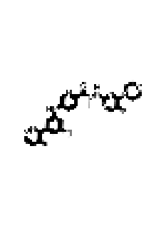 Cc1ccnnc1-c1cc(Cl)cc(Nc2ccc(C(=O)NNc3ncc(F)c(N4CCOCC4)n3)nc2)c1